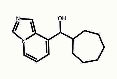 OC(c1cccn2cncc12)C1CCCCCC1